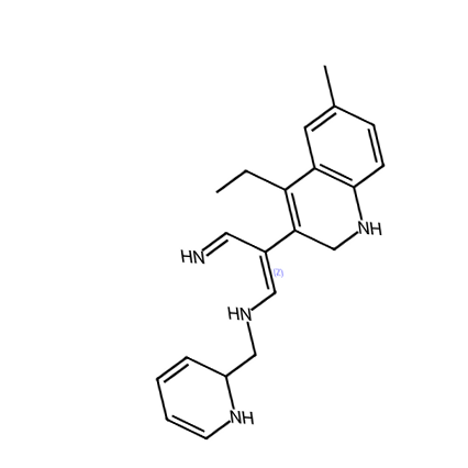 CCC1=C(/C(C=N)=C/NCC2C=CC=CN2)CNc2ccc(C)cc21